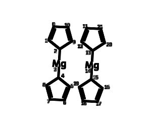 C1=C[CH]([Mg][CH]2C=CC=C2)C=C1.C1=C[CH]([Mg][CH]2C=CC=C2)C=C1